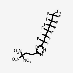 O=[N+]([O-])C(CCc1nnc(C(F)(F)C(F)(F)C(F)(F)C(F)(F)C(F)(F)C(F)(F)C(F)(F)F)o1)([N+](=O)[O-])[N+](=O)[O-]